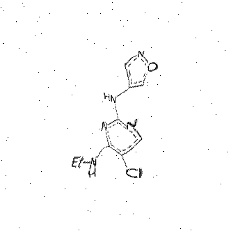 CCNc1nc(Nc2cnoc2)ncc1Cl